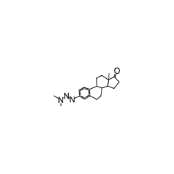 CN(C)/N=N/c1ccc2c(c1)CCC1C2CCC2(C)C(=O)CCC12